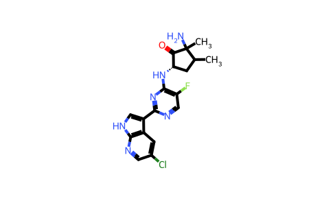 CC1C[C@H](Nc2nc(-c3c[nH]c4ncc(Cl)cc34)ncc2F)C(=O)C1(C)N